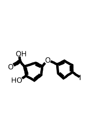 O=C(O)c1cc(Oc2ccc(I)cc2)ccc1O